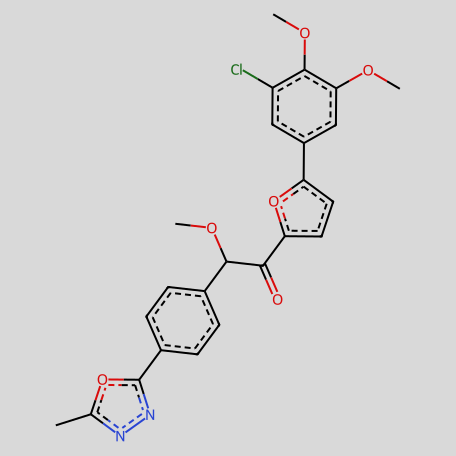 COc1cc(-c2ccc(C(=O)C(OC)c3ccc(-c4nnc(C)o4)cc3)o2)cc(Cl)c1OC